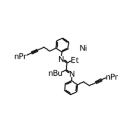 CCCC#CCCc1ccccc1/N=C(CC)/C(CCCC)=N/c1ccccc1CCC#CCCC.[Ni]